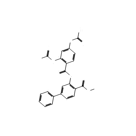 COC(=O)c1ccc(-c2ccccc2)cc1NC(=O)c1ccc(OC(C)=O)cc1OC(C)=O